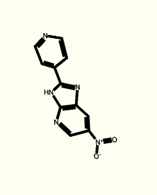 O=[N+]([O-])c1cnc2[nH]c(-c3ccncc3)nc2c1